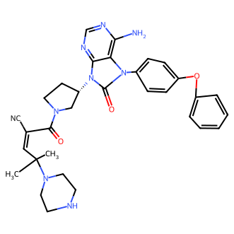 CC(C)(/C=C(/C#N)C(=O)N1CC[C@H](n2c(=O)n(-c3ccc(Oc4ccccc4)cc3)c3c(N)ncnc32)C1)N1CCNCC1